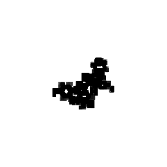 CC(C)(CN1CCOCC1)NC(=O)c1nn(-c2ccc(F)cc2F)c2c1C[C@@H]1C[C@H]21